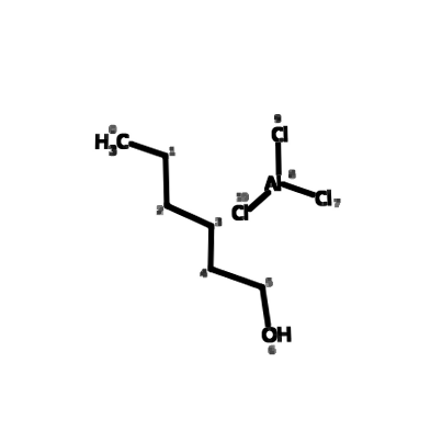 CCCCCCO.[Cl][Al]([Cl])[Cl]